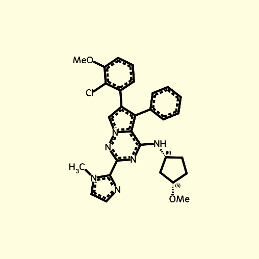 COc1cccc(-c2cn3nc(-c4nccn4C)nc(N[C@@H]4CC[C@H](OC)C4)c3c2-c2ccccc2)c1Cl